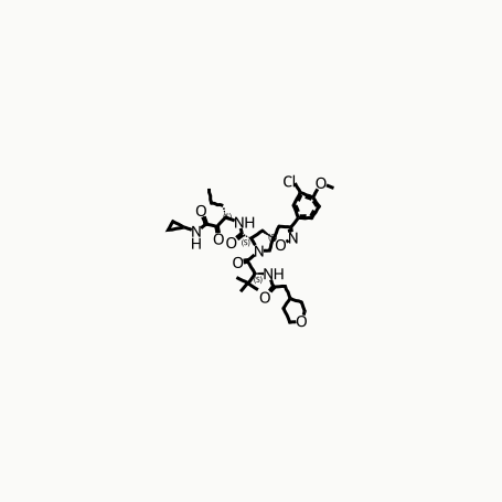 CCC[C@H](NC(=O)[C@@H]1C[C@]2(CC(c3ccc(OC)c(Cl)c3)=NO2)CN1C(=O)[C@@H](NC(=O)CC1CCOCC1)C(C)(C)C)C(=O)C(=O)NC1CC1